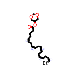 CC/C=C\C/C=C\C/C=C\C/C=C\C/C=C\CCCC(=O)OC1COCOC1